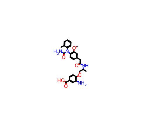 COc1cc(CC(=O)NC(C)COc2ccc(C(=O)O)cc2N)ccc1N(C(N)=O)c1ccccc1C